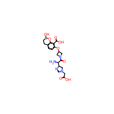 NC(C(=O)N1CC(Oc2ccc3c(c2C(=O)O)OB(O)CC3)C1)C1CN(CC(=O)O)C=N1